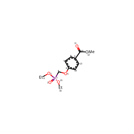 CCOP(=O)(COc1ccc(C(=O)OC)cc1)OCC